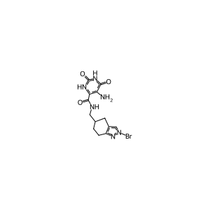 Nc1c(C(=O)NCC2CCc3nn(Br)cc3C2)[nH]c(=O)[nH]c1=O